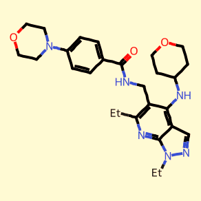 CCc1nc2c(cnn2CC)c(NC2CCOCC2)c1CNC(=O)c1ccc(N2CCOCC2)cc1